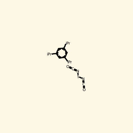 CC(C)c1cc(C(C)C)cc(C(C)C)c1.O=C=NSN=C=O